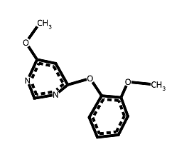 COc1cc(Oc2ccccc2OC)ncn1